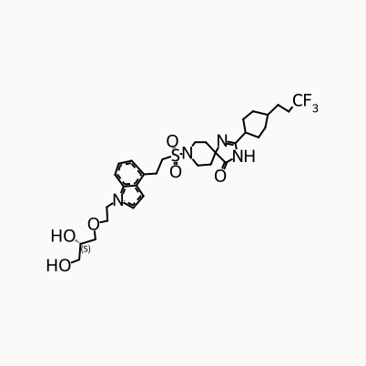 O=C1NC(C2CCC(CCC(F)(F)F)CC2)=NC12CCN(S(=O)(=O)CCc1cccc3c1ccn3CCOC[C@@H](O)CO)CC2